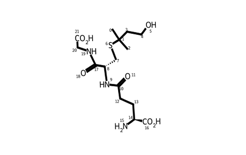 CC(C)(CCO)SC[C@H](NC(=O)CC[C@H](N)C(=O)O)C(=O)NCC(=O)O